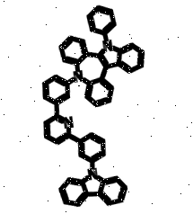 c1ccc(-n2c3c(c4ccccc42)-c2ccccc2N(c2cccc(-c4cccc(-c5cccc(-n6c7ccccc7c7ccccc76)c5)n4)c2)c2ccccc2-3)cc1